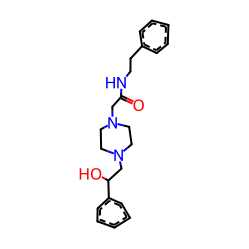 O=C(CN1CCN(CC(O)c2ccccc2)CC1)NCCc1ccccc1